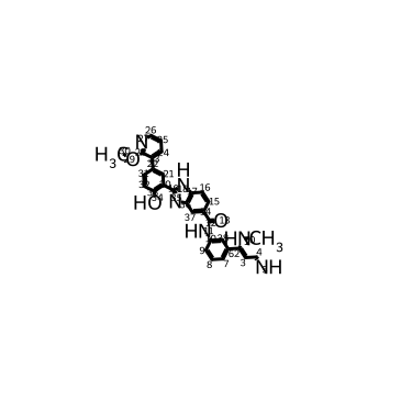 CN/C(=C\C=N)c1cccc(NC(=O)c2ccc3[nH]c(-c4cc(-c5cccnc5OC)ccc4O)nc3c2)c1